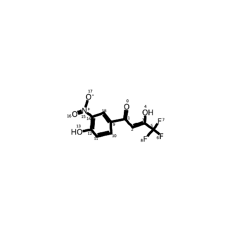 O=C(/C=C(\O)C(F)(F)F)c1ccc(O)c([N+](=O)[O-])c1